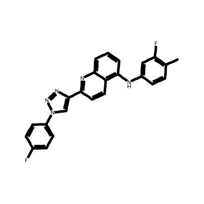 Cc1ccc(Nc2cccc3nc(-c4cn(-c5ccc(F)cc5)nn4)ccc23)cc1F